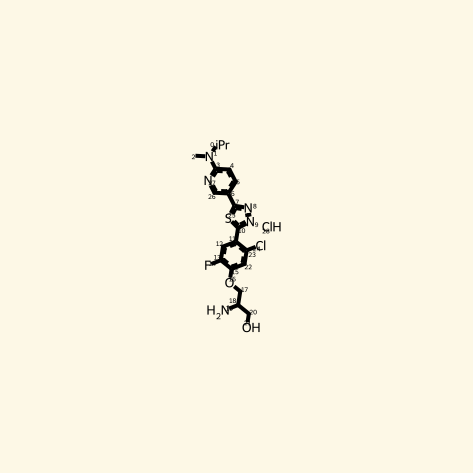 CC(C)N(C)c1ccc(-c2nnc(-c3cc(F)c(OCC(N)CO)cc3Cl)s2)cn1.Cl